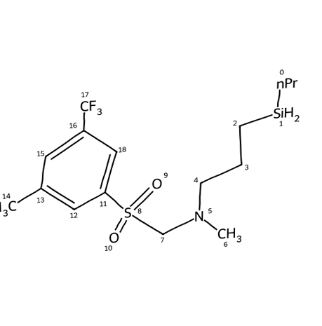 CCC[SiH2]CCCN(C)CS(=O)(=O)c1cc(C)cc(C(F)(F)F)c1